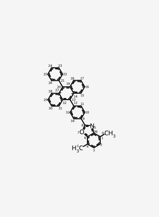 Cc1ccc(C)c2oc(-c3ccc(-c4c5ccccc5c(-c5ccccc5)c5ccccc45)cc3)nc12